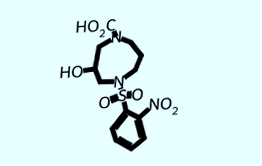 O=C(O)N1CCCN(S(=O)(=O)c2ccccc2[N+](=O)[O-])CC(O)C1